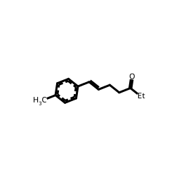 CCC(=O)CCC=Cc1ccc(C)cc1